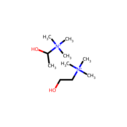 CC(O)[N+](C)(C)C.C[N+](C)(C)CCO